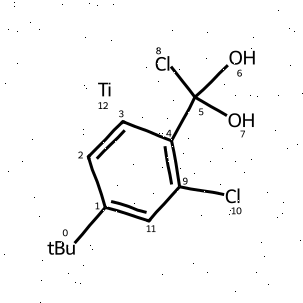 CC(C)(C)c1ccc(C(O)(O)Cl)c(Cl)c1.[Ti]